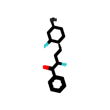 CCCC[C@H]1CC[C@H](CCC(F)C(=O)c2ccccc2)C(F)C1